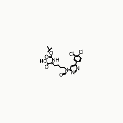 CC(C)(C)OC(=O)N[C@@H](CCCCN(C=O)c1cc(-c2ccc(Cl)c(Cl)c2)ncn1)C(=O)O